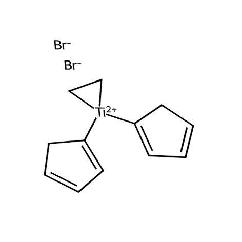 C1=CC[C]([Ti+2]2([C]3=CC=CC3)[CH2][CH2]2)=C1.[Br-].[Br-]